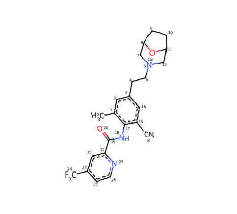 Cc1cc(CCN2CC3CCC(C2)O3)cc(C#N)c1NC(=O)c1cc(C(F)(F)F)ccn1